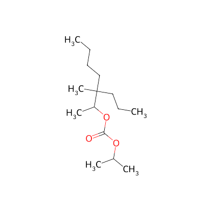 CCCCC(C)(CCC)C(C)OC(=O)OC(C)C